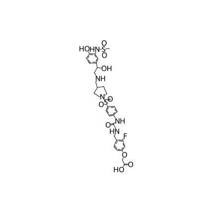 CS(=O)(=O)Nc1cc(C(O)CNCC2CCN(S(=O)(=O)c3ccc(NC(=O)NCc4ccc(OCC(=O)O)cc4F)cc3)CC2)ccc1O